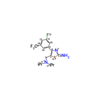 CC(C)N(Cc1sc(N)nc1-c1cc(F)cc(C(F)(F)F)c1)C(C)C